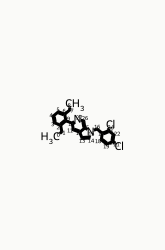 CCc1cccc(CC)c1-c1cc2ccn(Cc3ccc(Cl)cc3Cl)c2cn1